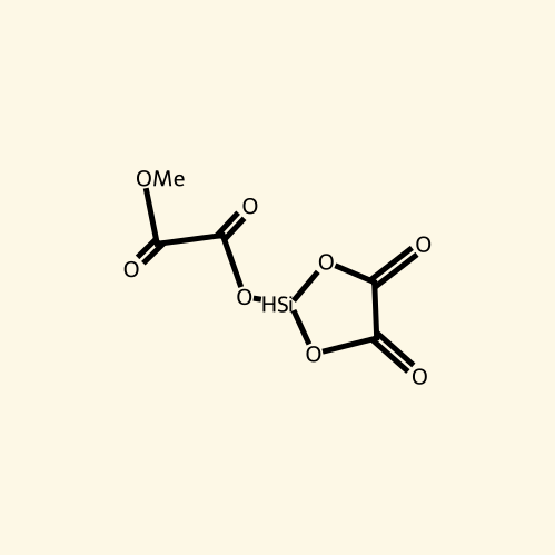 COC(=O)C(=O)O[SiH]1OC(=O)C(=O)O1